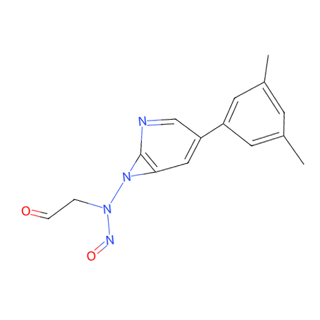 Cc1cc(C)cc(-c2cnc3c(c2)N3N(CC=O)N=O)c1